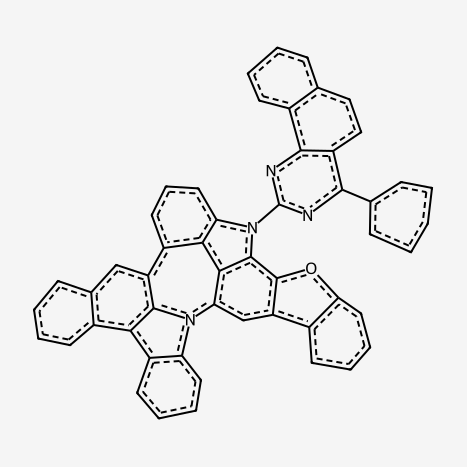 c1ccc(-c2nc(-n3c4cccc5c6cc7ccccc7c7c8ccccc8n(c8cc9c%10ccccc%10oc9c3c8c54)c67)nc3c2ccc2ccccc23)cc1